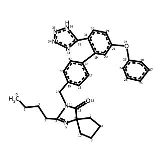 CCCCC1=NC2(CCCC2)C(=O)N1Cc1ccc(-c2cc(Oc3ccccc3)ccc2-c2nnn[nH]2)cc1